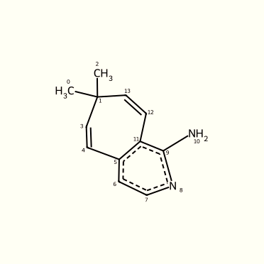 CC1(C)C=Cc2ccnc(N)c2C=C1